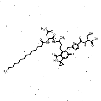 CCCCCCCCCCCCCC(=O)N[C@H](CC(N)=O)C(=O)N[C@@H](C)CCc1c2c(cc(=O)n1Cc1nc(C(=O)N[C@@H](CS)C(=O)O)cs1)C1(CC1)NC2=O